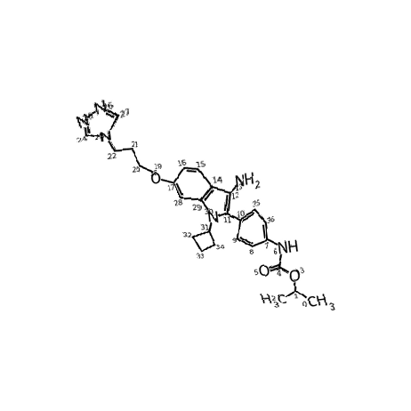 CC(C)OC(=O)Nc1ccc(-c2c(N)c3ccc(OCCCCn4cnnc4)cc3n2C2CCC2)cc1